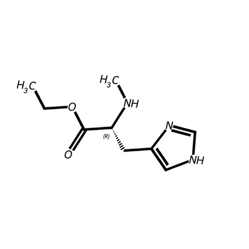 CCOC(=O)[C@@H](Cc1c[nH]cn1)NC